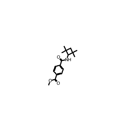 COC(=O)c1ccc(C(=O)NC2C(C)(C)CC2(C)C)cc1